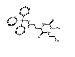 CC(C)(C)OC(=O)NC(CCC(=O)NC(c1ccccc1)(c1ccccc1)c1ccccc1)C(=O)NCCO